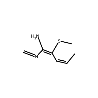 C=N/C(N)=C(\C=C/C)SC